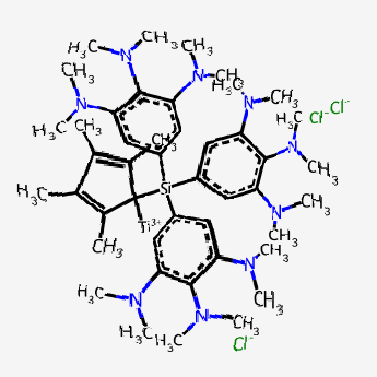 CC1=C(C)[C]([Ti+3])([Si](c2cc(N(C)C)c(N(C)C)c(N(C)C)c2)(c2cc(N(C)C)c(N(C)C)c(N(C)C)c2)c2cc(N(C)C)c(N(C)C)c(N(C)C)c2)C(C)=C1C.[Cl-].[Cl-].[Cl-]